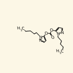 CCCCCn1nccc1OC(=O)Oc1ccnn1CCCCC